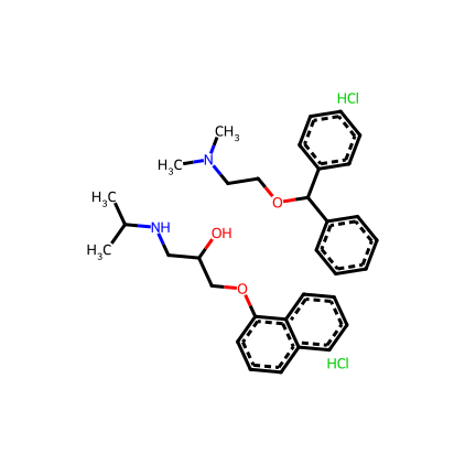 CC(C)NCC(O)COc1cccc2ccccc12.CN(C)CCOC(c1ccccc1)c1ccccc1.Cl.Cl